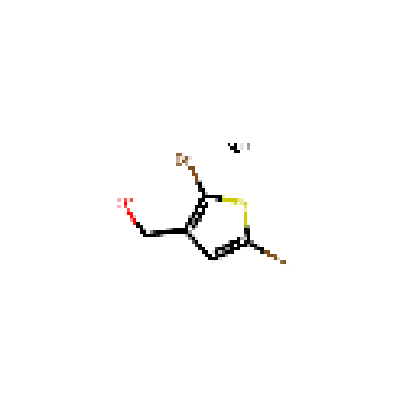 [Na+].[O-]Cc1cc(Br)sc1Br